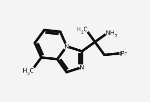 Cc1cccn2c(C(C)(N)CC(C)C)ncc12